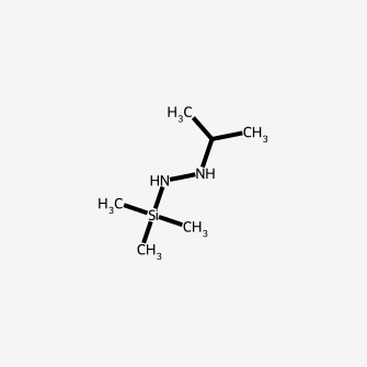 CC(C)NN[Si](C)(C)C